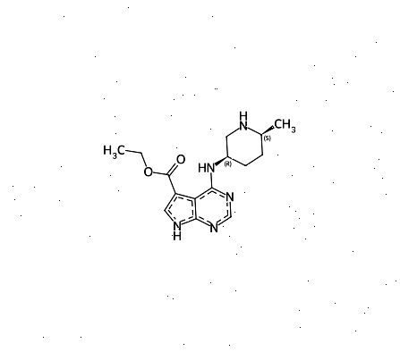 CCOC(=O)c1c[nH]c2ncnc(N[C@@H]3CC[C@H](C)NC3)c12